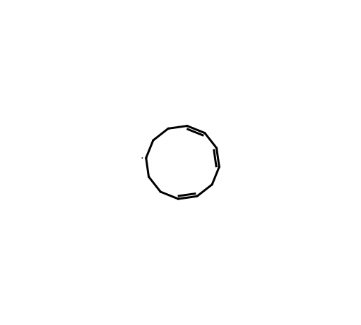 [CH]1CCC=CC=CCC=CCC1